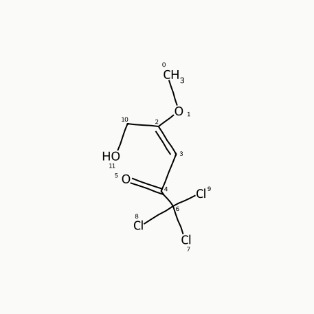 COC(=CC(=O)C(Cl)(Cl)Cl)CO